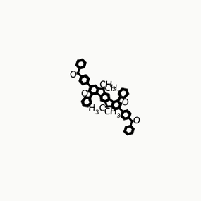 CC1(C)c2cc3c(cc2-c2c1cc(-c1ccc(C(=O)c4ccccc4)cc1)c1oc4ccccc4c21)C(C)(C)c1cc(-c2ccc(C(=O)c4ccccc4)cc2)c2oc4ccccc4c2c1-3